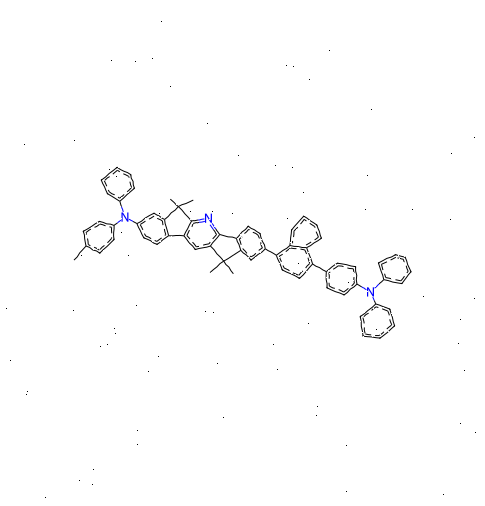 Cc1ccc(N(c2ccccc2)c2ccc3c(c2)C(C)(C)c2nc4c(cc2-3)C(C)(C)c2cc(-c3ccc(-c5ccc(N(c6ccccc6)c6ccccc6)cc5)c5ccccc35)ccc2-4)cc1